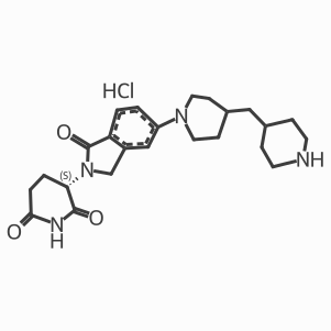 Cl.O=C1CC[C@H](N2Cc3cc(N4CCC(CC5CCNCC5)CC4)ccc3C2=O)C(=O)N1